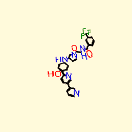 O=C(NCC(=O)N1CCC(NC2CCC(O)(c3ccc(-c4cccnc4)cn3)CC2)C1)c1cccc(C(F)(F)F)c1